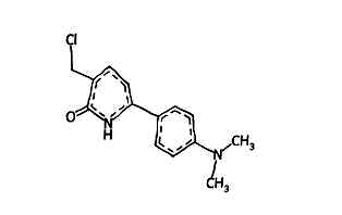 CN(C)c1ccc(-c2ccc(CCl)c(=O)[nH]2)cc1